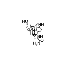 NC(=O)NNC(=O)c1cnc2[nH]ccc2c1N[C@H]1[C@@H]2CC3C[C@H]1C[C@@](O)(C3)C2